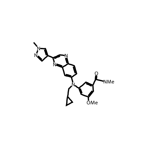 CNC(=O)c1cc(OC)cc(N(CC2CC2)c2ccc3ncc(-c4cnn(C)c4)nc3c2)c1